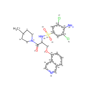 CC1CCN(C(=O)C(COc2cccc3cnccc23)NS(=O)(=O)c2cc(Cl)c(N)c(Cl)c2)CC1